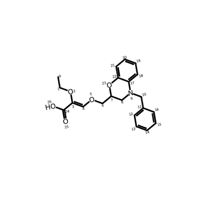 CCO/C(=C\OCC1CN(Cc2ccccc2)c2ccccc2O1)C(=O)O